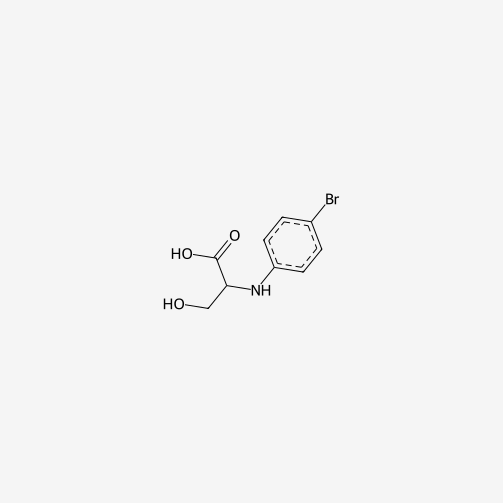 O=C(O)C(CO)Nc1ccc(Br)cc1